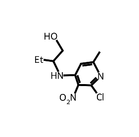 CCC(CO)Nc1cc(C)nc(Cl)c1[N+](=O)[O-]